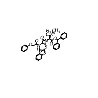 CO/C(C)=C(\C(=O)OC(c1ccccc1)c1ccccc1)N1C(=O)C(NC(=O)COc2ccccc2)C1Sc1nc2ccccc2s1